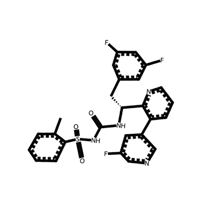 Cc1ccccc1S(=O)(=O)NC(=O)N[C@H](Cc1cc(F)cc(F)c1)c1ncccc1-c1cncc(F)c1